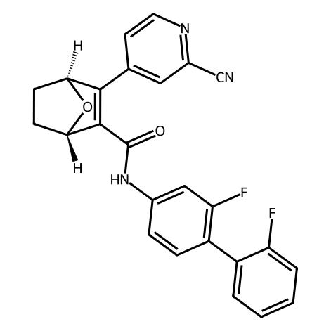 N#Cc1cc(C2=C(C(=O)Nc3ccc(-c4ccccc4F)c(F)c3)[C@@H]3CC[C@@H]2O3)ccn1